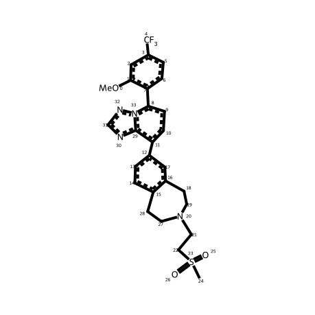 COc1cc(C(F)(F)F)ccc1-c1ccc(-c2ccc3c(c2)CCN(CCS(C)(=O)=O)CC3)c2n[c]nn12